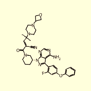 CC(C)(/C=C(\C#N)C(=O)N1CCC[C@@H](n2nc(-c3ccc(Oc4ccccc4)cc3F)c3c(N)ncnc32)C1)N1CCN(C2COC2)CC1